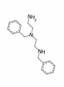 NCCN(CCNCc1ccccc1)Cc1ccccc1